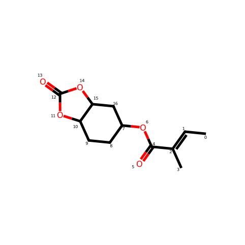 CC=C(C)C(=O)OC1CCC2OC(=O)OC2C1